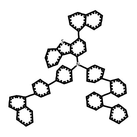 c1ccc(-c2ccccc2-c2ccccc2-c2ccc(N(c3ccc(-c4ccc(-c5cccc6ccccc56)cc4)cc3)c3ccc(-c4cccc5ccccc45)c4sc5ccccc5c34)cc2)cc1